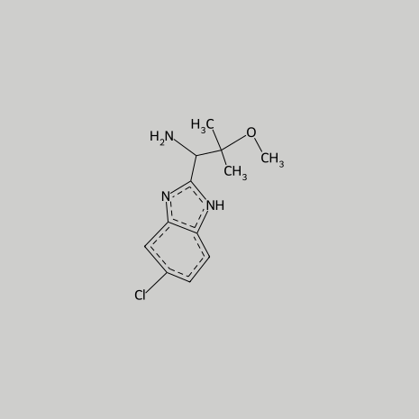 COC(C)(C)C(N)c1nc2cc(Cl)ccc2[nH]1